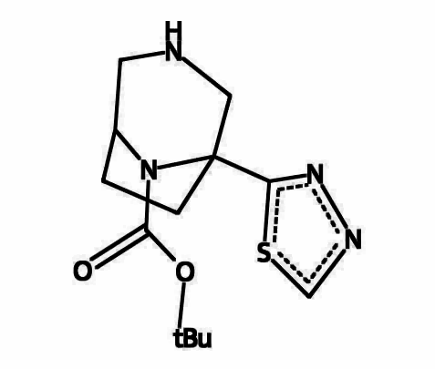 CC(C)(C)OC(=O)N1C2CCC1(c1nncs1)CNC2